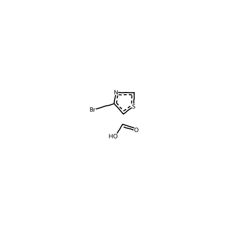 Brc1cscn1.O=CO